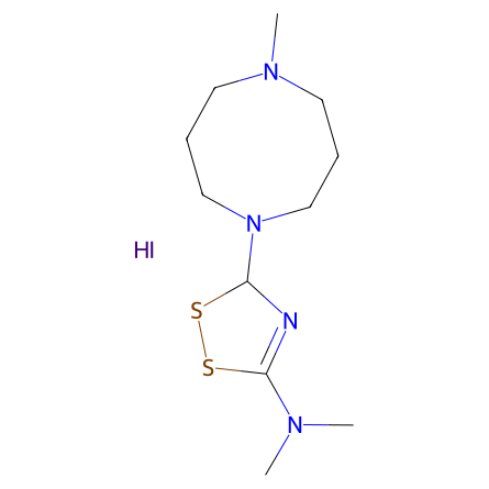 CN1CCCN(C2N=C(N(C)C)SS2)CCC1.I